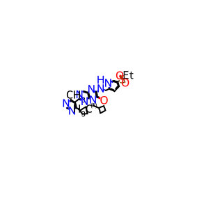 CCS(=O)(=O)c1ccc(CNc2nc3cnc(-c4c(C)ncnc4C4CCC4)nc3n([C@H](C)C3CCC3)c2=O)nc1